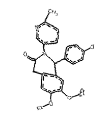 CCOc1cc2c(cc1OCC)C(c1ccc(Cl)cc1)N(c1ccc(C)nc1)C(=O)C2